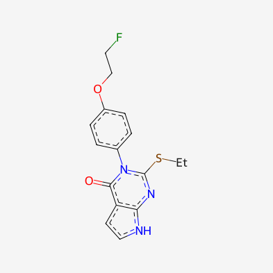 CCSc1nc2[nH]ccc2c(=O)n1-c1ccc(OCCF)cc1